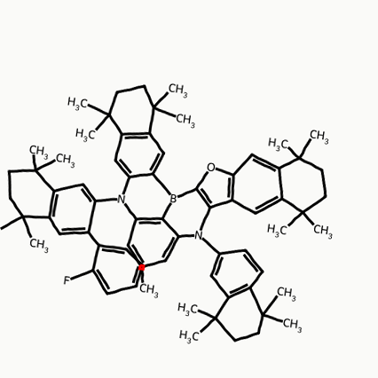 Cc1cc2c3c(c1)N(c1ccc4c(c1)C(C)(C)CCC4(C)C)c1c(oc4cc5c(cc14)C(C)(C)CCC5(C)C)B3c1cc3c(cc1N2c1cc2c(cc1-c1ccccc1F)C(C)(C)CCC2(C)C)C(C)(C)CCC3(C)C